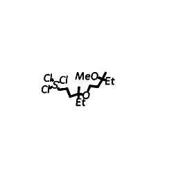 CCC(C)(CCOC(C)(CC)CCCS(Cl)(Cl)Cl)OC